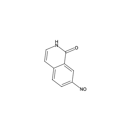 O=Nc1ccc2cc[nH]c(=O)c2c1